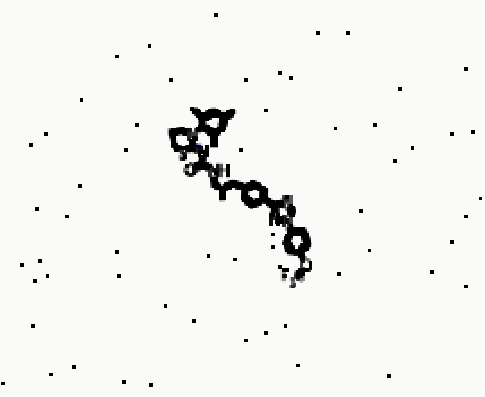 Cc1cc(C)c(N2CCCS/C2=N\C(=O)NCC(C)Cc2ccc(-c3ncn(-c4ccc(OC(F)(F)F)cc4)n3)cc2)c(C)c1